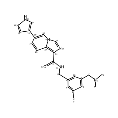 CN(C)Cc1cc(F)cc(CNC(=O)c2ncn3cc(-c4cn[nH]c4)ccc23)c1